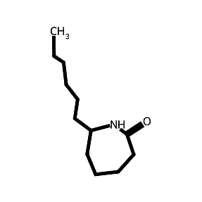 CCCCCCC1CCCCC(=O)N1